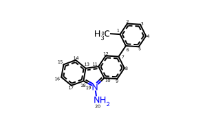 Cc1ccccc1-c1ccc2c(c1)c1ccccc1n2N